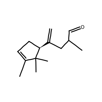 C=C(CC(C)C=O)[C@@H]1CC=C(C)C1(C)C